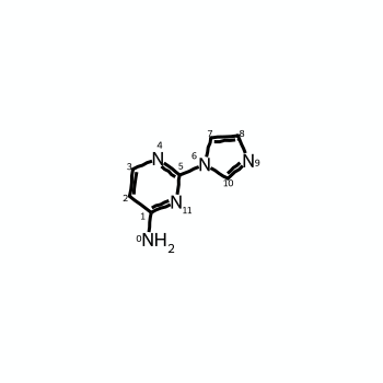 Nc1ccnc(-n2c[c]nc2)n1